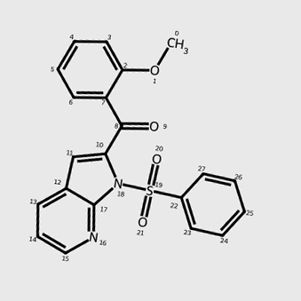 COc1ccccc1C(=O)c1cc2cccnc2n1S(=O)(=O)c1ccccc1